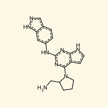 NCC1CCCN1c1nc(Nc2ccc3cn[nH]c3c2)nc2[nH]ccc12